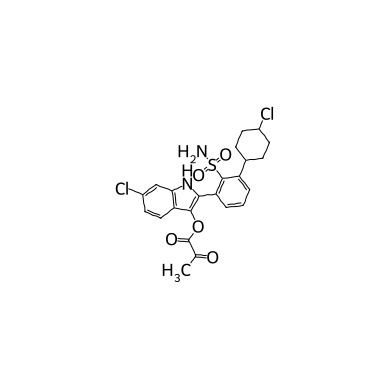 CC(=O)C(=O)Oc1c(-c2cccc(C3CCC(Cl)CC3)c2S(N)(=O)=O)[nH]c2cc(Cl)ccc12